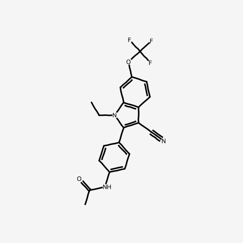 CCn1c(-c2ccc(NC(C)=O)cc2)c(C#N)c2ccc(OC(F)(F)F)cc21